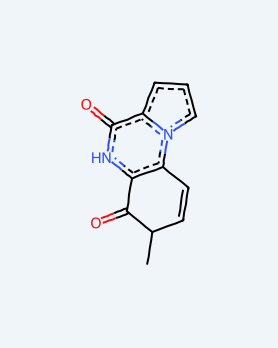 CC1C=Cc2c([nH]c(=O)c3cccn23)C1=O